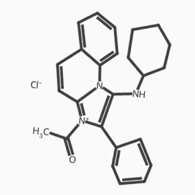 CC(=O)[n+]1c(-c2ccccc2)c(NC2CCCCC2)n2c3ccccc3ccc21.[Cl-]